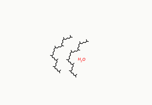 CC(C)CCCC(C)CCCC(C)CCCC(C)CCCCC(C)CCCC(C)CCCC(C)CCCC(C)C.CC(C)CCCC(C)CCCC(C)CCCC(C)CCCCC(C)CCCC(C)CCCC(C)CCCC(C)C.O